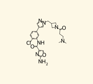 CN(C)CCC(=O)N1CC(Cn2cc(-c3ccc(Cl)c(NC(=O)c4coc(N)n4)c3)cn2)C1